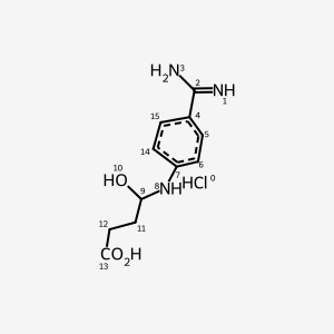 Cl.N=C(N)c1ccc(NC(O)CCC(=O)O)cc1